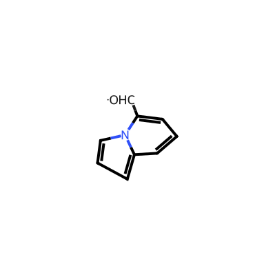 O=[C]c1cccc2cccn12